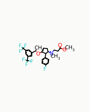 COC(=O)CCN(C)C1CCC(O[C@H](C)c2cc(C(F)(F)F)cc(C(F)(F)F)c2)C1c1ccc(F)cc1